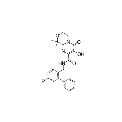 CC1(C)OCCn2c1nc(C(=O)NCc1ccc(F)cc1-c1ccccc1)c(O)c2=O